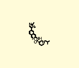 Cc1ncc(-c2ccc3cnc(NC(=O)[C@H]4CCCN(CC(C)C)C4)cc3c2)n1C